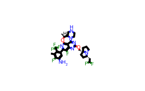 Cc1c(F)c(N)cc(-c2nc3c4c(nc(OC[C@]56CCCN5[C@H](CC(F)F)CC6)nc4c2F)N2CCNC[C@H]2[C@H](C)O3)c1C(F)(F)F